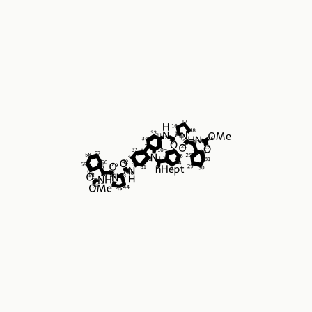 CCCCCCCC(c1ccccc1)n1c2cc(NC(=O)[C@@H]3CCCN3C(=O)[C@H](NC(=O)OC)c3ccccc3)ccc2c2ccc(NC(=O)[C@@H]3CCCN3C(=O)[C@H](NC(=O)OC)c3ccccc3)cc21